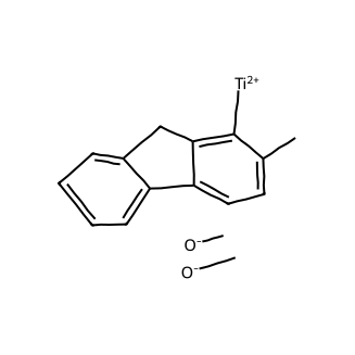 C[O-].C[O-].Cc1ccc2c([c]1[Ti+2])Cc1ccccc1-2